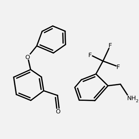 NCc1ccccc1C(F)(F)F.O=Cc1cccc(Oc2ccccc2)c1